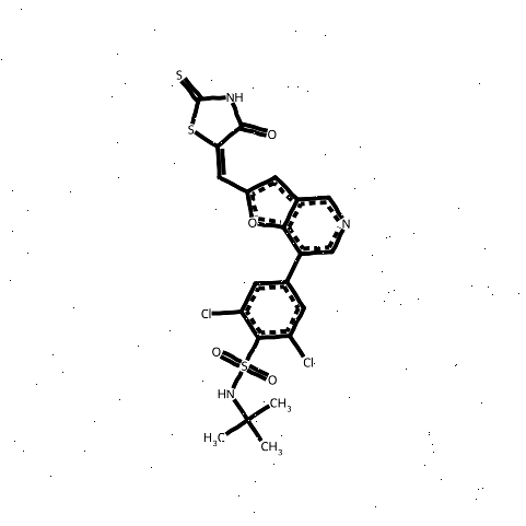 CC(C)(C)NS(=O)(=O)c1c(Cl)cc(-c2cncc3cc(/C=C4/SC(=S)NC4=O)oc23)cc1Cl